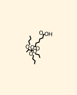 CCCCOC(C)C(OCCC)(OCCCC)OC(=O)CCCCC(=O)O